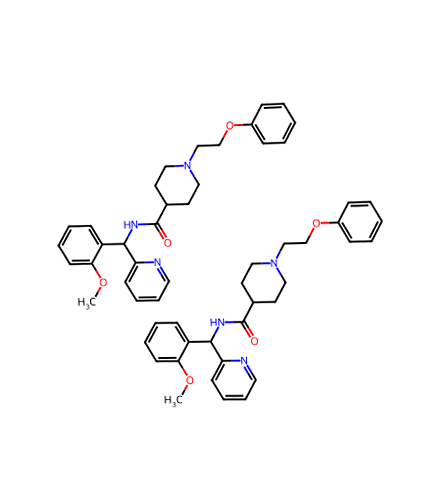 COc1ccccc1C(NC(=O)C1CCN(CCOc2ccccc2)CC1)c1ccccn1.COc1ccccc1C(NC(=O)C1CCN(CCOc2ccccc2)CC1)c1ccccn1